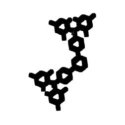 Cc1cc(C)c(B(c2ccc(-c3cccc(-c4ccc(B(c5c(C)cc(C)cc5C)c5c(C)cc(C)cc5C)cc4)c3)cc2)c2c(C)cc(C)cc2C)c(C)c1